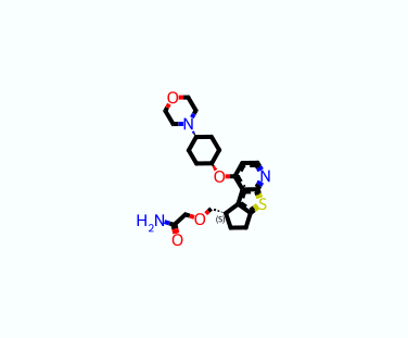 NC(=O)COC[C@H]1CCc2sc3nccc(O[C@H]4CC[C@H](N5CCOCC5)CC4)c3c21